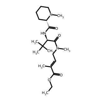 CCOC(=O)/C(C)=C/CN(C)C(=O)[C@H](NC(=O)[C@@H]1CCCCN1C)C(C)(C)C